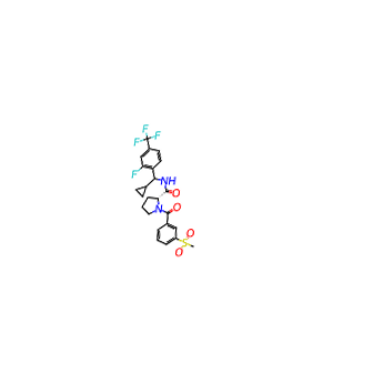 CS(=O)(=O)c1cccc(C(=O)N2CCC[C@@H]2C(=O)NC(c2ccc(C(F)(F)F)cc2F)C2CC2)c1